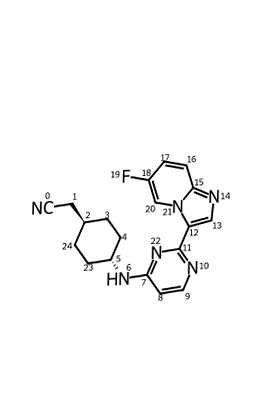 N#CC[C@H]1CC[C@H](Nc2ccnc(-c3cnc4ccc(F)cn34)n2)CC1